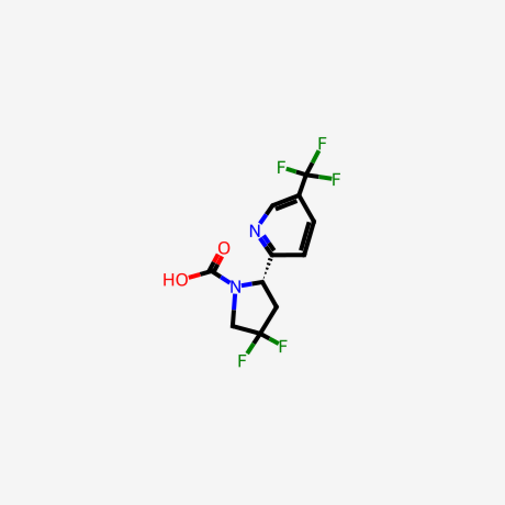 O=C(O)N1CC(F)(F)C[C@H]1c1ccc(C(F)(F)F)cn1